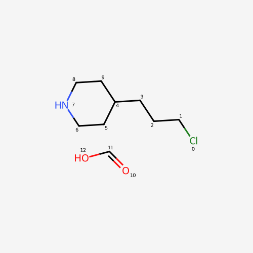 ClCCCC1CCNCC1.O=CO